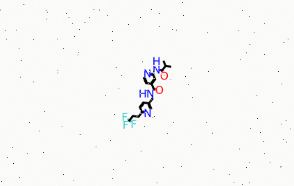 CC(C)C(=O)Nc1cc(C(=O)NCc2ccc(CCC(F)(F)F)nc2)ccn1